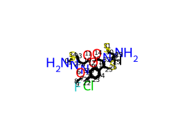 Nc1nc(C(=NOCCF)C(=O)OC(=O)C2=C(c3ccc(CCl)cc3)CS[C@H]3C(N)C(=S)N23)cs1